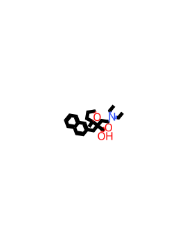 CCN(CC)CCC(Cc1ccc2ccccc2c1)(C(=O)O)C1(C)CCCO1